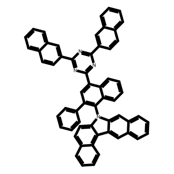 c1ccc(-c2cc(-c3nc(-c4ccc5ccccc5c4)nc(-c4ccc5ccccc5c4)n3)c3ccccc3c2-n2c3cc4ccccc4cc3c3c4ccccc4ccc32)cc1